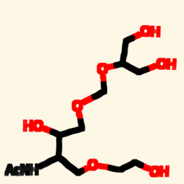 CC(=O)NC(COCCO)C(O)COCOC(CO)CO